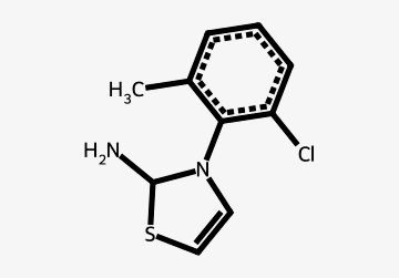 Cc1cccc(Cl)c1N1C=CSC1N